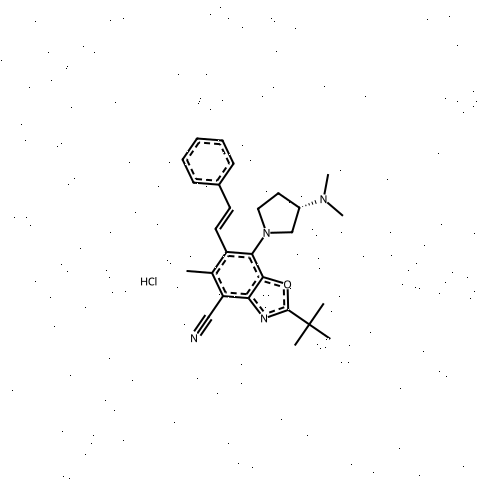 Cc1c(C=Cc2ccccc2)c(N2CC[C@H](N(C)C)C2)c2oc(C(C)(C)C)nc2c1C#N.Cl